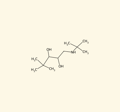 CC(C)(C)NCC(O)C(O)C(C)(C)C